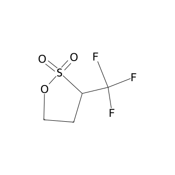 O=S1(=O)OCCC1C(F)(F)F